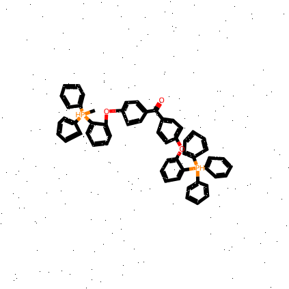 C[PH](c1ccccc1)(c1ccccc1)c1ccccc1Oc1ccc(C(=O)c2ccc(Oc3ccccc3[PH](c3ccccc3)(c3ccccc3)c3ccccc3)cc2)cc1